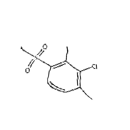 Cc1ccc(S(C)(=O)=O)c(C)c1Cl